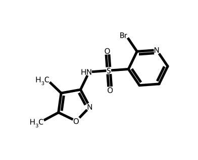 Cc1onc(NS(=O)(=O)c2cccnc2Br)c1C